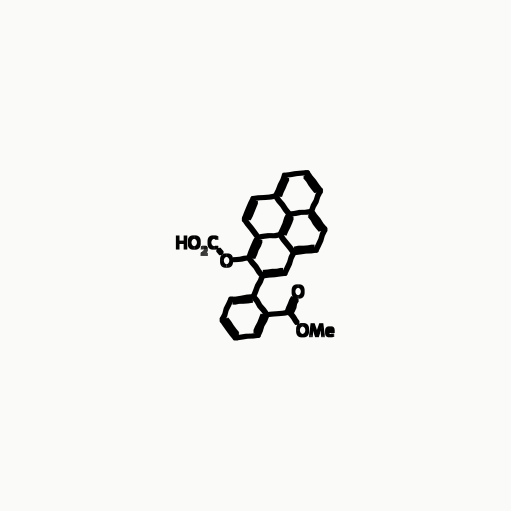 COC(=O)c1ccccc1-c1cc2ccc3cccc4ccc(c1OC(=O)O)c2c34